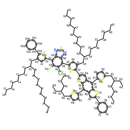 CCCCCCCCCCC(CCCCCCCC)Cc1cc(-c2c(F)c(Cl)c(-c3cc(CC(CCCCCCCC)CCCCCCCCCC)c(-c4cc5c(-c6ccc(CC(CC)CCCC)s6)c6sc(-c7ccccc7)cc6c(-c6ccc(CC(CC)CCCC)s6)c5s4)s3)c3nsnc23)sc1-c1ccccc1